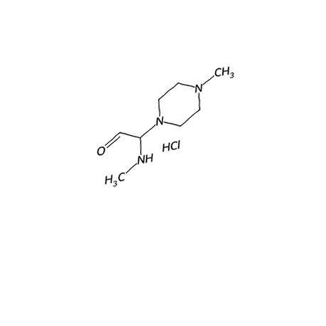 CNC(C=O)N1CCN(C)CC1.Cl